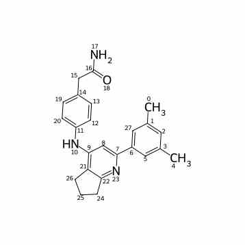 Cc1cc(C)cc(-c2cc(Nc3ccc(CC(N)=O)cc3)c3c(n2)CCC3)c1